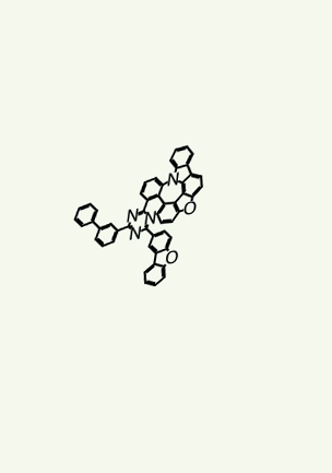 c1ccc(-c2cccc(-c3nc(-c4ccc5oc6ccccc6c5c4)nc(-c4cccc5c4c4cccc6oc7ccc8c9ccccc9n5c8c7c64)n3)c2)cc1